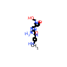 CNCc1ccc(-c2cc(-c3nc(-c4ccc(=O)n(CCO)c4)cnc3N)on2)cc1